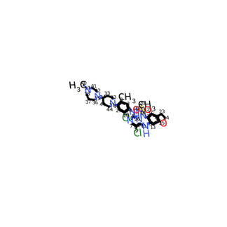 Cc1cc(Nc2ncc(Cl)c(Nc3cc4c(cc3NS(C)(=O)=O)CCO4)n2)c(Cl)cc1N1CCC(N2CCCN(C)CC2)CC1